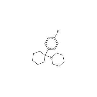 Fc1ccc(C2(N3CCCCC3)CCCCC2)cc1